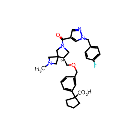 CN1CC2(C1)CN(C(=O)c1cnn(Cc3ccc(F)cc3)c1)C[C@H]2COCc1cccc(C2(C(=O)O)CCCC2)c1